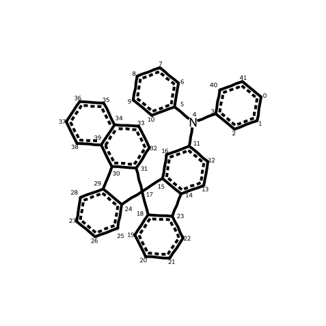 c1ccc(N(c2ccccc2)c2ccc3c(c2)C2(c4ccccc4-3)c3ccccc3-c3c2ccc2ccccc32)cc1